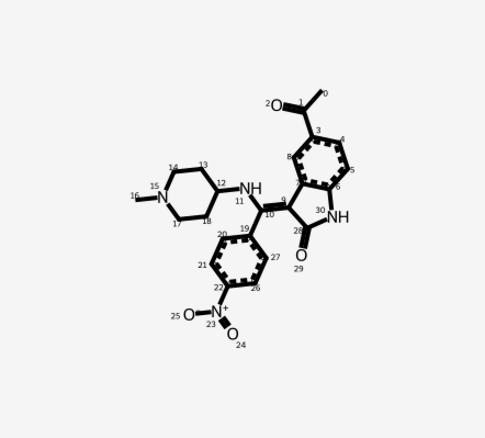 CC(=O)c1ccc2c(c1)C(=C(NC1CCN(C)CC1)c1ccc([N+](=O)[O-])cc1)C(=O)N2